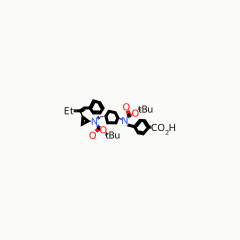 CCC(=Cc1ccccc1)[C@@H]1C[C@H]1N(C[C@H]1CC[C@H](N(Cc2ccc(C(=O)O)cc2)C(=O)OC(C)(C)C)CC1)C(=O)OC(C)(C)C